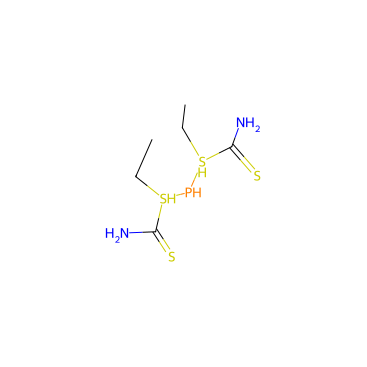 CC[SH](P[SH](CC)C(N)=S)C(N)=S